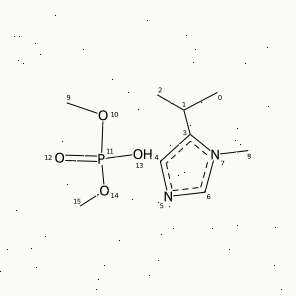 CC(C)c1cncn1C.COP(=O)(O)OC